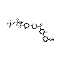 O=C(NS(=O)(=O)CCC(F)(F)F)c1ccc(N2CCN(C(=O)c3ccc(-c4cncc(O)c4)c(F)c3)CC2)nn1